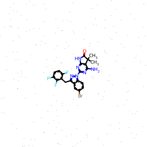 CC1(C)C(=O)Nc2nc(-n3nc(Cc4c(F)ccc(F)c4F)c4cc(Br)ccc43)nc(N)c21